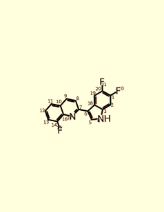 Fc1cc2[nH]cc(-c3ccc4cccc(F)c4n3)c2cc1F